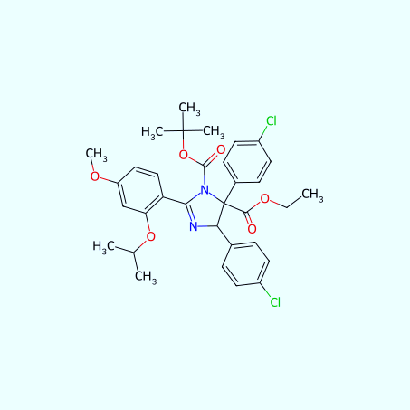 CCOC(=O)C1(c2ccc(Cl)cc2)C(c2ccc(Cl)cc2)N=C(c2ccc(OC)cc2OC(C)C)N1C(=O)OC(C)(C)C